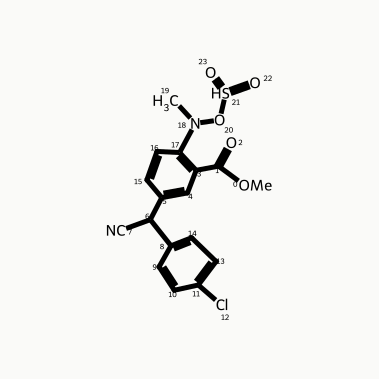 COC(=O)c1cc(C(C#N)c2ccc(Cl)cc2)ccc1N(C)O[SH](=O)=O